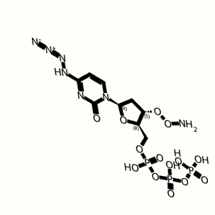 [N-]=[N+]=NNc1ccn([C@H]2C[C@H](OON)[C@@H](COP(=O)(O)OP(=O)(O)OP(=O)(O)O)O2)c(=O)n1